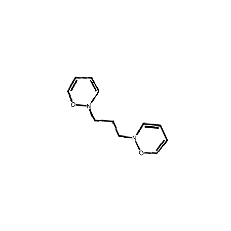 C1=CON(CCCN2C=CC=CO2)C=C1